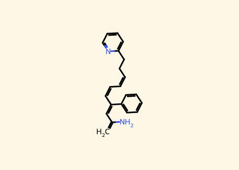 C=C(N)/C=C(/C=C\C=C/CCc1ccccn1)c1ccccc1